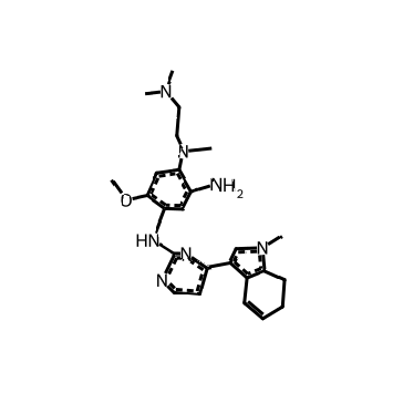 COc1cc(N(C)CCN(C)C)c(N)cc1Nc1nccc(-c2cn(C)c3c2C=CCC3)n1